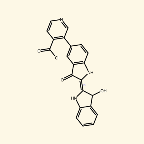 O=C1/C(=C2\Nc3ccccc3C2O)Nc2ccc(-c3cnccc3C(=O)Cl)cc21